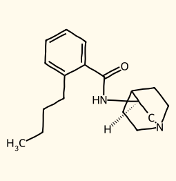 CCCCc1ccccc1C(=O)N[C@@H]1CN2CCC1CC2